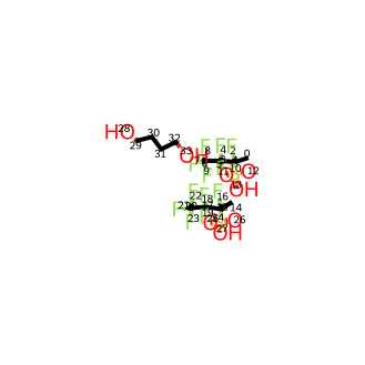 CC(F)(C(F)(F)C(F)(F)F)S(=O)(=O)O.CC(F)(C(F)(F)C(F)(F)F)S(=O)(=O)O.OCCCCO